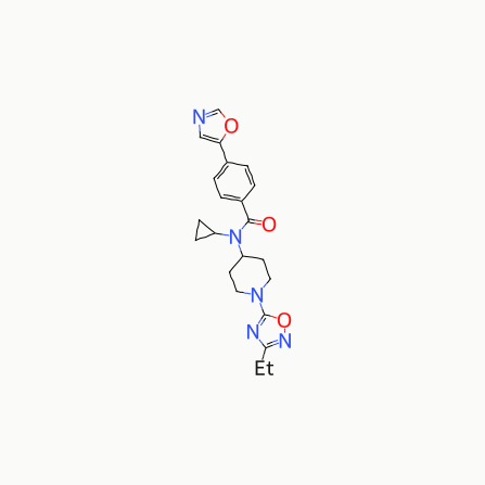 CCc1noc(N2CCC(N(C(=O)c3ccc(-c4cnco4)cc3)C3CC3)CC2)n1